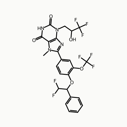 Cn1c(-c2ccc(OC(c3ccccc3)C(F)F)c(OC(F)(F)F)c2)nc2c1c(=O)[nH]c(=O)n2CC(O)C(F)(F)F